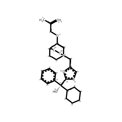 C=C(C)COC1C[N+]2(Cc3cnc([C@](O)(c4ccccc4)C4CCCCC4)o3)CCC1CC2